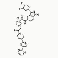 CO[C@@]1(C(=O)Nc2ccc3[nH]nc(-c4ccc(F)c(F)c4)c3c2)CCN(CC(=O)N2CC=C(c3ncc(-c4ncccn4)s3)CC2)C1